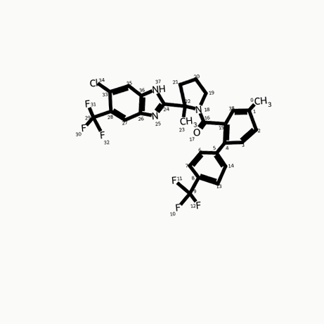 Cc1ccc(-c2ccc(C(F)(F)F)cc2)c(C(=O)N2CCCC2(C)c2nc3cc(C(F)(F)F)c(Cl)cc3[nH]2)c1